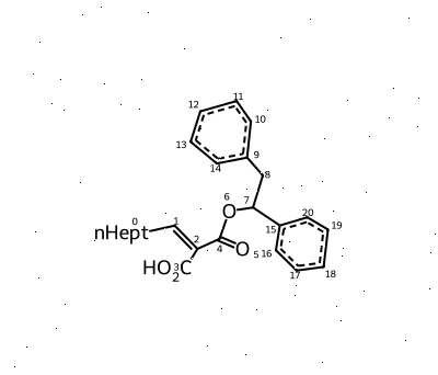 CCCCCCCC=C(C(=O)O)C(=O)OC(Cc1ccccc1)c1ccccc1